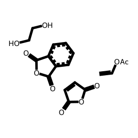 C=COC(C)=O.O=C1C=CC(=O)O1.O=C1OC(=O)c2ccccc21.OCCO